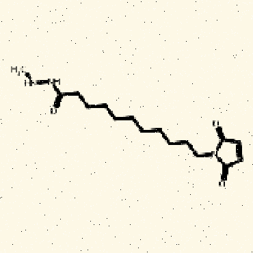 CNNC(=O)CCCCCCCCCCN1C(=O)C=CC1=O